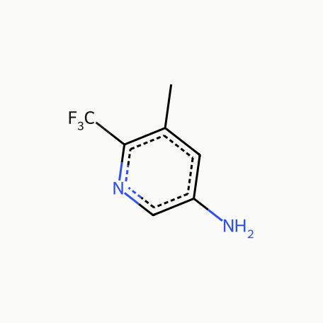 Cc1cc(N)cnc1C(F)(F)F